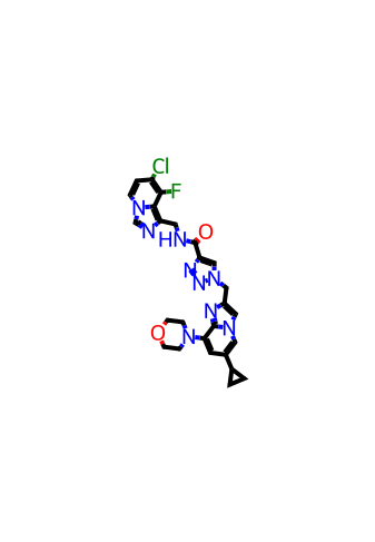 O=C(NCc1ncn2ccc(Cl)c(F)c12)c1cn(Cc2cn3cc(C4CC4)cc(N4CCOCC4)c3n2)nn1